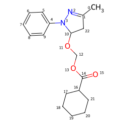 CC1=NN(c2ccccc2)C(OCOC(=O)C2CCCCC2)C1